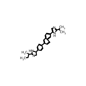 CCC(C)C1=NCC(c2ccc(-c3ccc4cc(-c5cnc(C(C)C)[nH]5)ccc4c3)cc2)N1